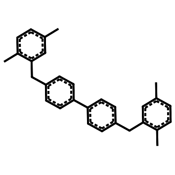 Cc1ccc(C)c(Cc2ccc(-c3ccc(Cc4cc(C)ccc4C)cc3)cc2)c1